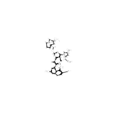 CCc1c(F)ccc2cc(O)cc(-c3ncc4c(N5C[C@H](O)C[C@H]5CO)nc(OC[C@@]56CCCN5C[C@H](C)C6)nc4c3F)c12